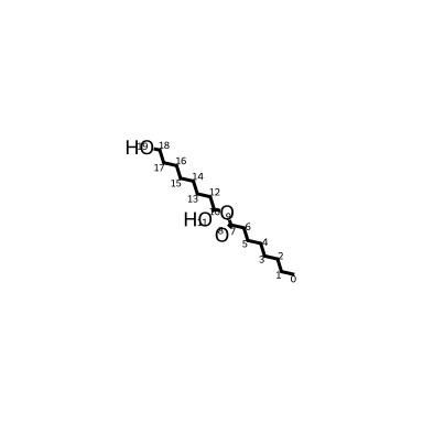 CCCCCCCC(=O)OC(O)CCCCCCCO